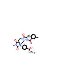 COC(=O)c1ccc(N2C(=O)N(C)C(=O)C23CCN(C(=O)[C@H](NC(=O)c2cc(C)ccc2F)C(C)C)CC3)cc1